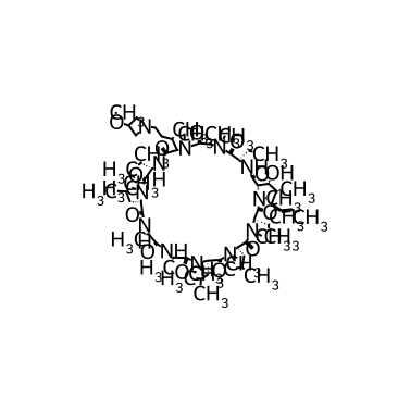 C/C=C/C[C@@H](C)[C@@H](O)[C@H]1C(=O)N[C@@H](CC)C(=O)N(C)[C@H](C)C(=O)N(C)[C@@H]([C@H](C)CCN2CC(OC)C2)C(=O)N[C@@H](C(C)C)C(=O)N(C)[C@@H](CC(C)C)C(=O)N[C@@H](C)C(=O)N[C@H](C)C(=O)N(C)[C@@H](CC(C)C)C(=O)N(C)[C@@H](CC(C)C)C(=O)N(C)[C@@H](C(C)C)C(=O)N1C